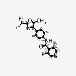 Cc1oc(C(F)F)nc1-c1ccc(NC(=O)c2c(F)cncc2F)cc1